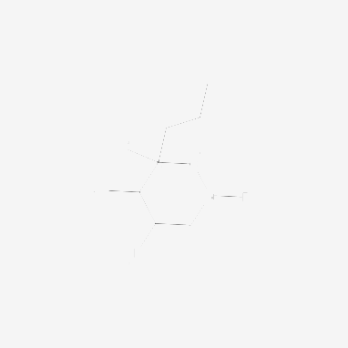 CCCC1(C)O[SiH](F)CC(F)C1F